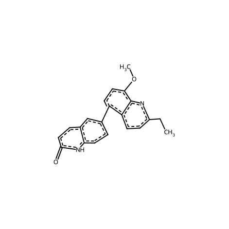 CCc1ccc2c(-c3ccc4[nH]c(=O)ccc4c3)ccc(OC)c2n1